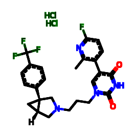 Cc1nc(F)ccc1-c1cn(CCCN2C[C@@H]3C[C@]3(c3ccc(C(F)(F)F)cc3)C2)c(=O)[nH]c1=O.Cl.Cl